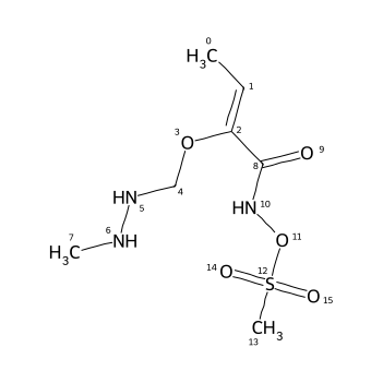 C/C=C(\OCNNC)C(=O)NOS(C)(=O)=O